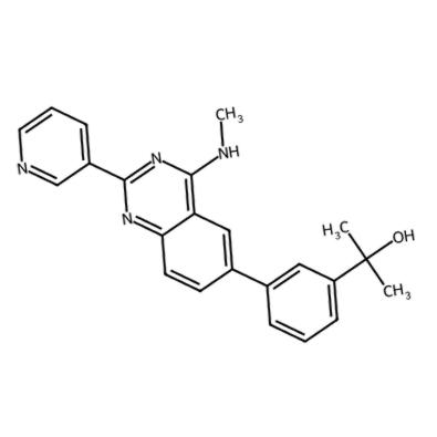 CNc1nc(-c2cccnc2)nc2ccc(-c3cccc(C(C)(C)O)c3)cc12